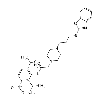 CC(C)c1ccc([N+](=O)[O-])c(C(C)C)c1NC(=O)CN1CCN(CCCSc2nc3ccccc3o2)CC1